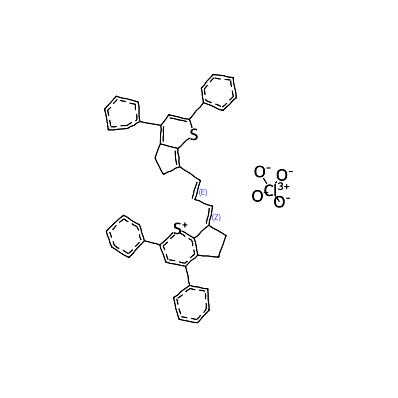 C1=C(c2ccccc2)SC2=C(/C=C/C=C3/CCc4c(-c5ccccc5)cc(-c5ccccc5)[s+]c43)CCC2=C1c1ccccc1.[O-][Cl+3]([O-])([O-])[O-]